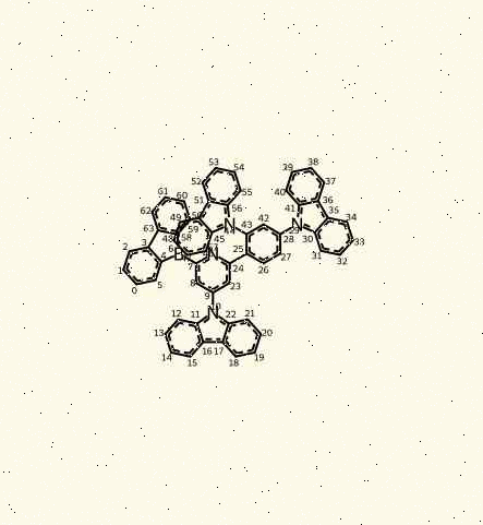 c1ccc2c(c1)B(c1cc(-n3c4ccccc4c4ccccc43)cc(-c3ccc(-n4c5ccccc5c5ccccc54)cc3-n3c4ccccc4c4ccccc43)n1)c1ccccc1-2